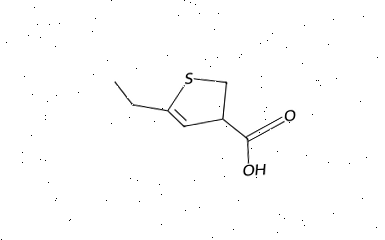 CCC1=CC(C(=O)O)CS1